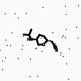 CC(C)N[C@H]1CC[C@H](CC#N)OC1